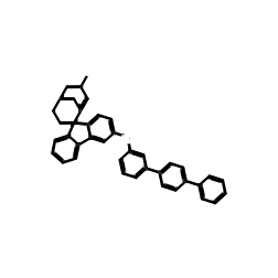 CC1C=C2CC(CCC23c2ccccc2-c2cc(Nc4cccc(-c5ccc(-c6ccccc6)cc5)c4)ccc23)C1